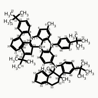 Cc1cc2c3c(c1)N(c1ccc(C(C)(C)C)cc1-c1ccccc1)c1ccc(C(C)(C)C)cc1B3c1ccc(N3c4ccc(C(C)(C)C)cc4C4(C)CCc5ccccc5C34C)cc1N2c1ccc(C(C)(C)C)cc1